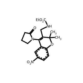 CCOC(=O)NCC1=C(N2CCCC2=O)c2cc([N+](=O)[O-])ccc2OC1(C)C